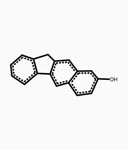 Oc1ccc2cc3c(cc2c1)Cc1ccccc1-3